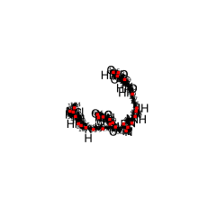 Cn1ncc(-c2nc(N[C@H]3CC[C@H](NCCCCCCNC(=O)NCc4cc5c(s4)C(=O)N(C4CCC(=O)NC4=O)C5)CC3)ncc2F)c1CC1CC1N(Cc1cc2c(s1)C(=O)N(C1CCC(=O)NC1=O)C2)C(=O)NCCCCCCCCN[C@H]1CC[C@H](Nc2ncc(Cl)c(-c3cnn(C)c3CC3CC3)n2)CC1